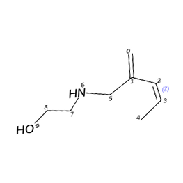 C=C(/C=C\C)CNCCO